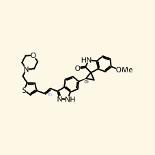 COc1ccc2c(c1)C1(C[C@H]1c1ccc3c(/C=C/c4csc(CN5CCOCC5)c4)n[nH]c3c1)C(=O)N2